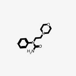 NC(=O)N(CCN1CCOCC1)c1cc[c]cc1